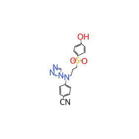 N#Cc1ccc(N(CCCS(=O)(=O)c2ccc(O)cc2)n2cnnc2)cc1